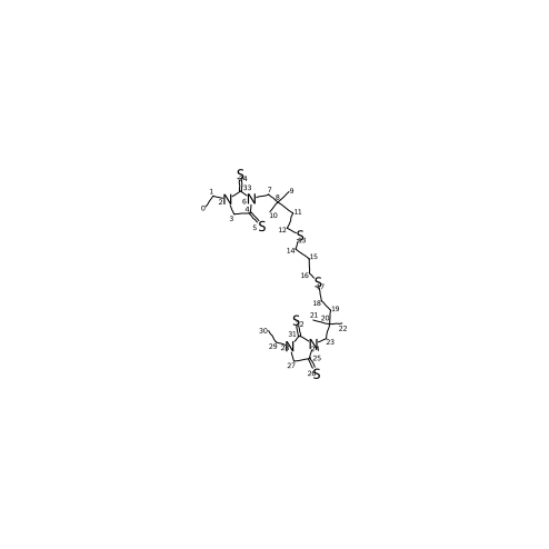 CCN1CC(=S)N(CC(C)(C)CCSCCCSCCC(C)(C)CN2C(=S)CN(CC)C2=S)C1=S